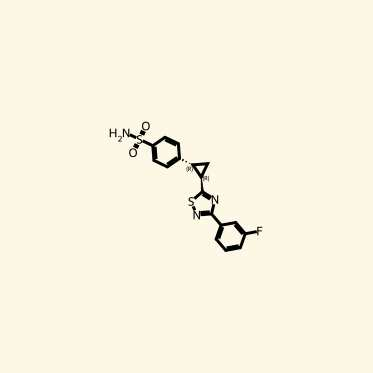 NS(=O)(=O)c1ccc([C@@H]2C[C@H]2c2nc(-c3cccc(F)c3)ns2)cc1